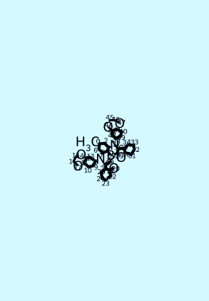 Cc1cc2c3c(c1)N(c1ccc4c(c1)OCCO4)c1c(oc4ccccc14)B3c1oc3ccccc3c1N2c1ccc2c(c1)OCCO2